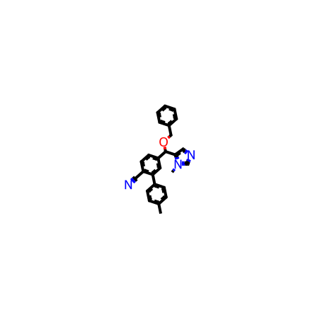 Cc1ccc(-c2cc(C(OCc3ccccc3)c3cncn3C)ccc2C#N)cc1